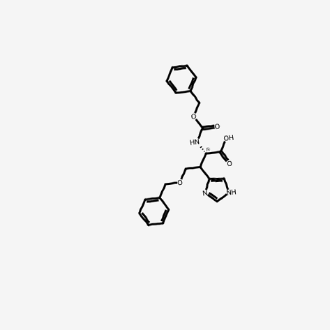 O=C(N[C@H](C(=O)O)C(COCc1ccccc1)c1c[nH]cn1)OCc1ccccc1